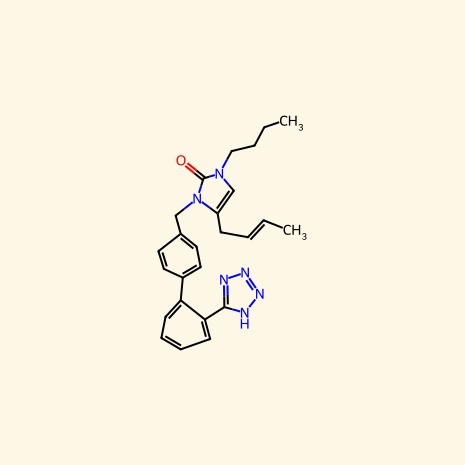 C/C=C/Cc1cn(CCCC)c(=O)n1Cc1ccc(-c2ccccc2-c2nnn[nH]2)cc1